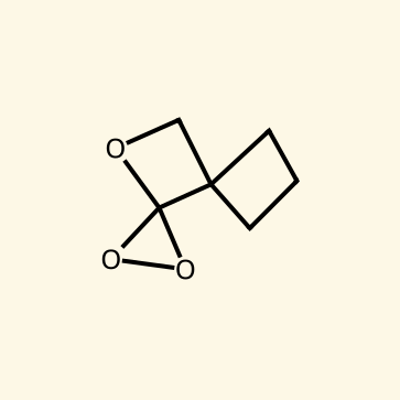 C1CC2(C1)COC21OO1